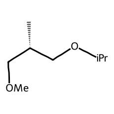 COC[C@H](C)COC(C)C